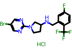 Cl.Fc1ccc(C(F)(F)F)c(CNC2CCN(c3ncc(Br)cn3)C2)c1